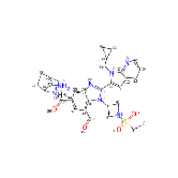 CCS(=O)(=O)N1CC(n2c(-c3cc4cccnc4n3CC3CC3)nc3cc(C(=O)N4CC5CCC4[C@@H]5N)cc(C=O)c32)C1